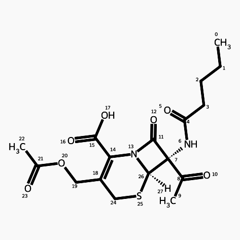 CCCCC(=O)N[C@@]1(C(C)=O)C(=O)N2C(C(=O)O)=C(COC(C)=O)CS[C@@H]21